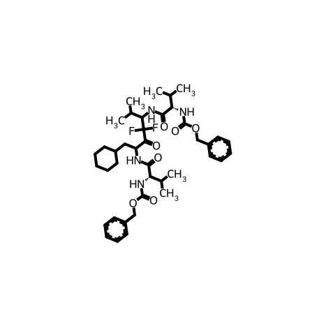 CC(C)C(NC(=O)[C@@H](NC(=O)OCc1ccccc1)C(C)C)C(F)(F)C(=O)C(CC1CCCCC1)NC(=O)[C@@H](NC(=O)OCc1ccccc1)C(C)C